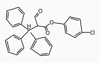 O=CC(C(=O)Oc1ccc(Cl)cc1)[PH](c1ccccc1)(c1ccccc1)c1ccccc1